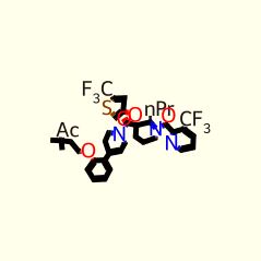 CCC[C@H]1N(C(=O)c2ncccc2C(F)(F)F)CCC[C@@]1(Oc1csc(C(F)(F)F)c1)C(=O)N1CC=C(c2ccccc2OCCC(C)(C)C(C)=O)CC1